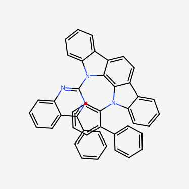 c1ccc(-c2ccccc2-n2c3ccccc3c3ccc4c5ccccc5n(-c5nc(-c6ccccc6)c6ccccc6n5)c4c32)cc1